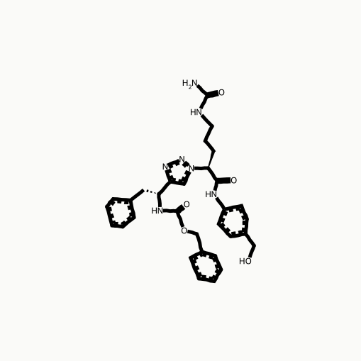 NC(=O)NCCC[C@@H](C(=O)Nc1ccc(CO)cc1)n1cc([C@@H](Cc2ccccc2)NC(=O)OCc2ccccc2)nn1